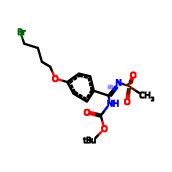 CC(C)(C)OC(=O)N/C(=N\S(C)(=O)=O)c1ccc(OCCCCBr)cc1